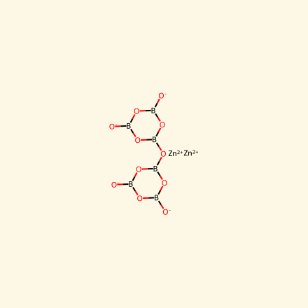 [O-]B1OB([O-])OB(OB2OB([O-])OB([O-])O2)O1.[Zn+2].[Zn+2]